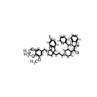 COc1cc(CN2CCC(CCCN3CCC(C(=O)c4nc5ccccc5n4Cc4ccccn4)CC3)(Cc3ccc(F)cc3)C2=O)cc(OC)c1OC